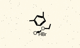 Br.CCOC=O.Cc1cccc(C)c1